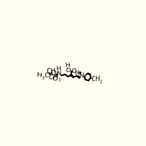 CC(C)(C)OC(=O)NCCCC(=Cc1cn([C@H]2CC[C@@H](C)CC2)cn1)C(=O)O